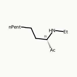 CCCCCCC[C@H](NCC)C(C)=O